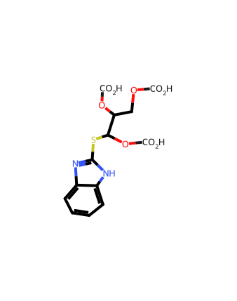 O=C(O)OCC(OC(=O)O)C(OC(=O)O)Sc1nc2ccccc2[nH]1